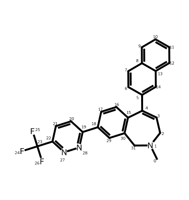 CN1CC=C(c2ccc3ccccc3c2)c2ccc(-c3ccc(C(F)(F)F)nn3)cc2C1